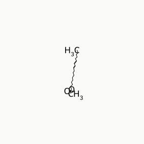 CCCCCC=CC=CCCCCCCCCOC(C)=O